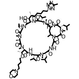 CC[C@@H]1NC(=O)[C@H]([C@H](O)[C@H](C)CCCCCn2nnc(C)n2)NC(=O)[C@H](C(C)C)N(C)C(=O)[C@@H]2CC(C)N(C(=O)[C@H](C)NC(=O)[C@H](CC(C)C)N(C)C(=O)[C@H](C(C)C)NC(=O)[C@H]([C@@H](C)OCCCCN3CCOCC3)N(C)C(=O)[C@@H](C)N(C)C1=O)[C@H](C)C(=O)N(C)[C@@H](CC(C)C)C(=O)N2C